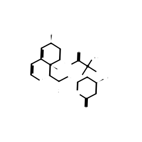 CCCCC(C)(C)C(=O)O[C@H]1C[C@H](O)C=C2C=CC[C@@H]([C@@H](C)C[C@@H]3C[C@@H](O)CC(=O)O3)[C@H]21